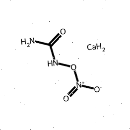 NC(=O)NO[N+](=O)[O-].[CaH2]